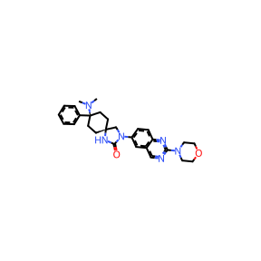 CN(C)[C@]1(c2ccccc2)CC[C@@]2(CC1)CN(c1ccc3nc(N4CCOCC4)ncc3c1)C(=O)N2